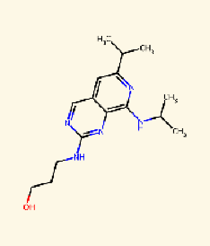 CC(C)Nc1nc(C(C)C)cc2cnc(NCCCO)nc12